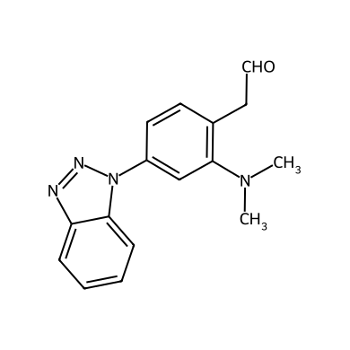 CN(C)c1cc(-n2nnc3ccccc32)ccc1CC=O